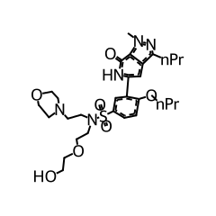 CCCOc1ccc(S(=O)(=O)N(CCOCCO)CCN2CCOCC2)cc1-c1cc2c(CCC)nn(C)c2c(=O)[nH]1